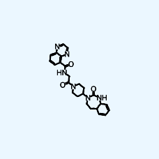 O=C(NCC(=O)N1CCC(N2CCC3C=CC=CC3NC2=O)CC1)c1cccc2nccnc12